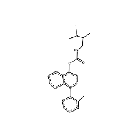 Cc1ccccc1-c1ncc(OC(=O)NCC(C)N(C)C)c2ccccc12